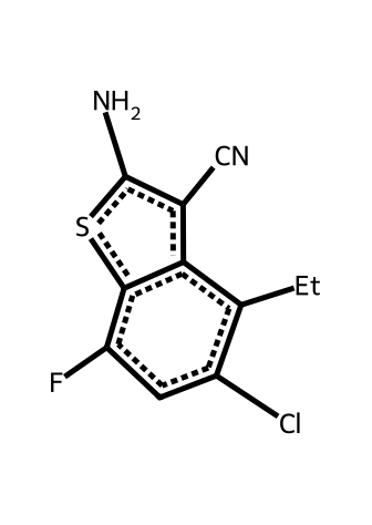 CCc1c(Cl)cc(F)c2sc(N)c(C#N)c12